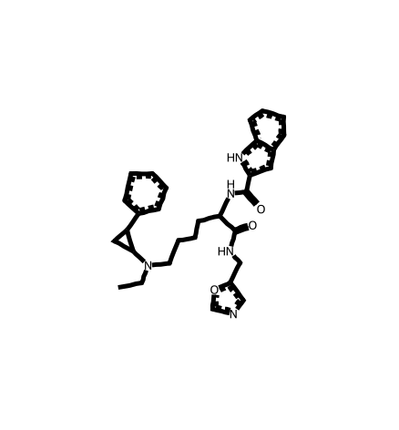 CCN(CCCCC(NC(=O)c1cc2ccccc2[nH]1)C(=O)NCc1cnco1)C1CC1c1ccccc1